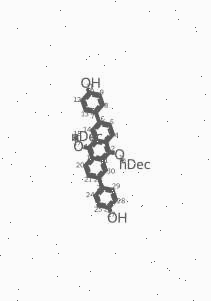 CCCCCCCCCCOc1c2ccc(-c3ccc(O)cc3)cc2c(OCCCCCCCCCC)c2ccc(-c3ccc(O)cc3)cc12